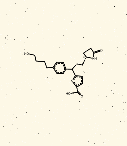 O=C1CC[C@H](COC(c2ccc(CCCCO)cc2)c2ccc(C(=O)O)s2)N1